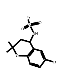 CCc1ccc2c(c1)C(NS(=O)(=O)CC)CC(C)(C)O2